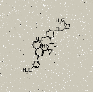 Cc1ccc(-c2cc(C3(NC(=O)c4cc(OC[C@@H]5CCN5C)ccc4C)CC3)c3cccnc3c2)o1